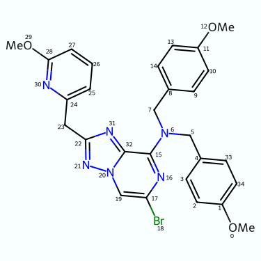 COc1ccc(CN(Cc2ccc(OC)cc2)c2nc(Br)cn3nc(Cc4cccc(OC)n4)nc23)cc1